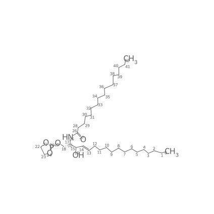 CCCCCCCCCCCCCC=CC(O)[C@H](COP1OCCO1)NC(=O)CCCCCCCCCCCCCCC